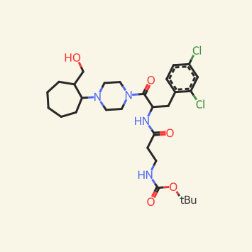 CC(C)(C)OC(=O)NCCC(=O)NC(Cc1ccc(Cl)cc1Cl)C(=O)N1CCN(C2CCCCCC2CO)CC1